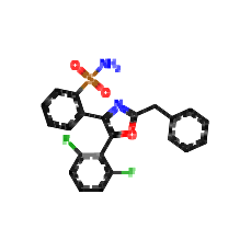 NS(=O)(=O)c1ccccc1-c1nc(Cc2ccccc2)oc1-c1c(F)cccc1F